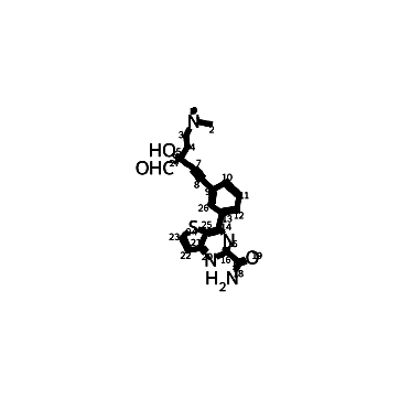 CN(C)CC[C@@](O)(C#Cc1cccc(-c2nc(C(N)=O)nc3ccsc23)c1)C=O